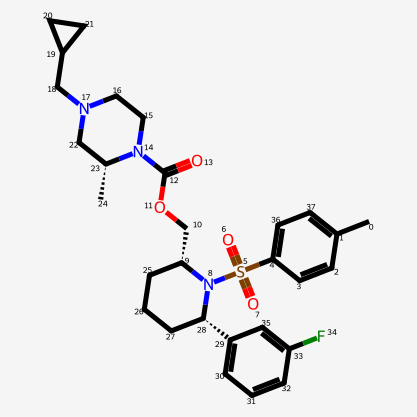 Cc1ccc(S(=O)(=O)N2[C@@H](COC(=O)N3CCN(CC4CC4)C[C@H]3C)CCC[C@H]2c2cccc(F)c2)cc1